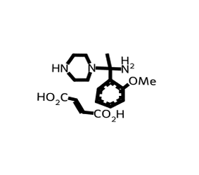 COc1ccccc1C(C)(N)N1CCNCC1.O=C(O)C=CC(=O)O